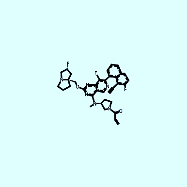 C#Cc1c(F)ccc2cccc(-c3ncc4c(N(C)[C@H]5CCN(C(=O)C=C)C5)nc(OC[C@@]56CCCN5C[C@H](F)C6)nc4c3F)c12